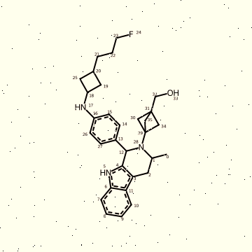 CC1Cc2c([nH]c3ccccc23)C(c2ccc(NC3CC(CCCF)C3)cc2)N1C12CC(CO)(C1)C2